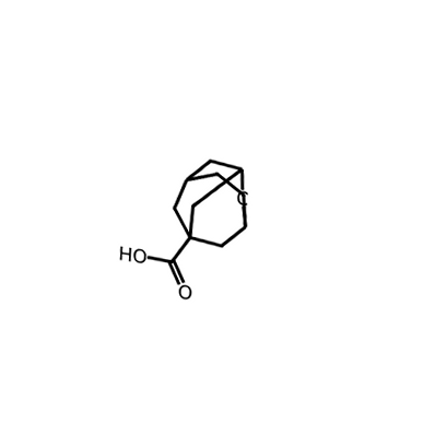 O=C(O)C12CC3CCC(CC(C3)C1)C2